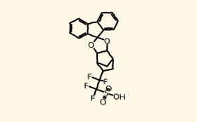 O=S(=O)(O)C(F)(F)C(F)(F)C1CC2CC1C1OC3(OC21)c1ccccc1-c1ccccc13